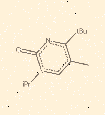 Cc1cn(C(C)C)c(=O)nc1C(C)(C)C